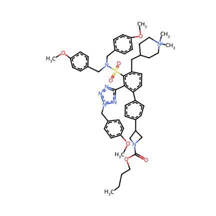 CCCCOC(=O)N1CC(c2ccc(-c3ccc(CC4CC[N+](C)(C)CC4)c(S(=O)(=O)N(Cc4ccc(OC)cc4)Cc4ccc(OC)cc4)c3-c3nnn(Cc4ccc(OC)cc4)n3)cc2)C1